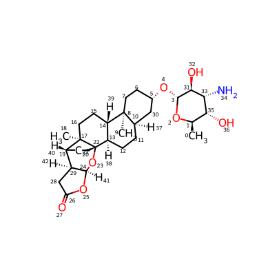 C[C@H]1O[C@H](O[C@H]2CC[C@@]3(C)[C@H](CC[C@@H]4[C@@H]3CC[C@]3(C)[C@@H]5CC[C@]43O[C@H]3OC(=O)C[C@H]35)C2)[C@@H](O)[C@H](N)[C@@H]1O